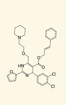 O=C(OCC=Cc1ccccc1)C1=C(COCCN2CCCCC2)NC(c2ccco2)=NC1c1ccc(Cl)c(Cl)c1